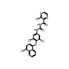 O=C(NC(=O)c1nccnc1Cl)Nc1cc(Cl)c(Oc2ccc(Cl)c3ccccc23)c(Cl)c1